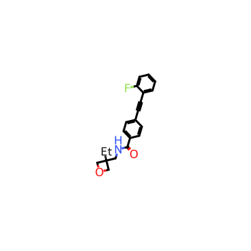 CCC1(CNC(=O)c2ccc(C#Cc3ccccc3F)cc2)COC1